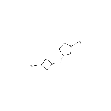 CC(C)N1CC[C@@H](CN2CC(C(C)(C)C)C2)C1